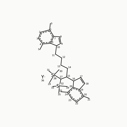 Cc1ccc(C)c2c1C=CC2CCCCC(C1C=Cc2c(C)ccc(C)c21)C([Si](C)(C)C)[Si](C)(C)C.[Y]